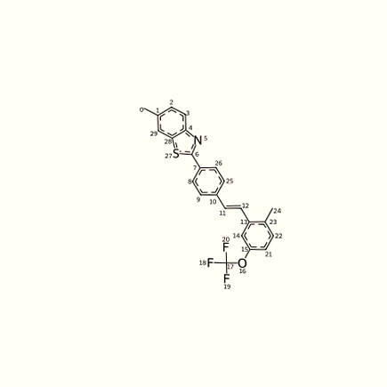 Cc1ccc2nc(-c3ccc(/C=C/c4cc(OC(F)(F)F)ccc4C)cc3)sc2c1